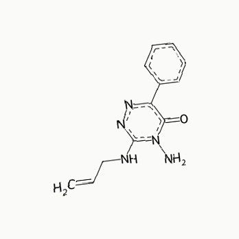 C=CCNc1nnc(-c2ccccc2)c(=O)n1N